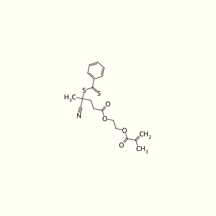 C=C(C)C(=O)OCCOC(=O)CCC(C)(C#N)SC(=S)c1ccccc1